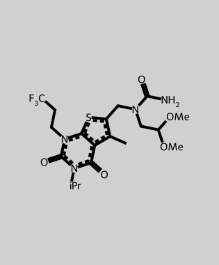 COC(CN(Cc1sc2c(c1C)c(=O)n(C(C)C)c(=O)n2CCC(F)(F)F)C(N)=O)OC